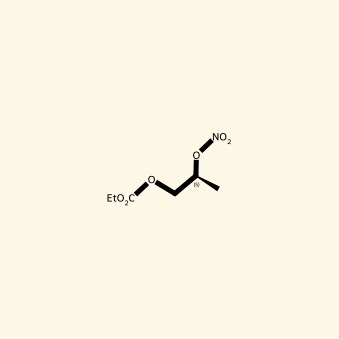 [CH2]COC(=O)OC[C@H](C)O[N+](=O)[O-]